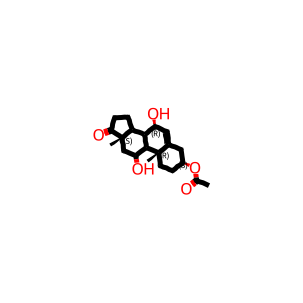 CC(=O)O[C@H]1CC[C@@]2(C)C(=C[C@H](O)C3C2C(O)C[C@]2(C)C(=O)CCC32)C1